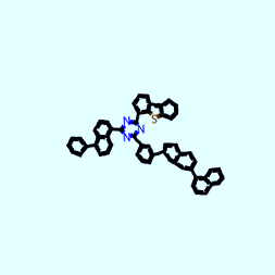 c1ccc(-c2cccc3c(-c4nc(-c5cccc(-c6ccc7ccc(-c8cccc9ccccc89)cc7c6)c5)nc(-c5cccc6c5sc5ccccc56)n4)cccc23)cc1